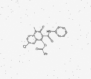 CC(C)C(=O)Oc1c(C(=O)Nc2ccccc2)c(=O)n(C)c2ccc(Cl)cc12